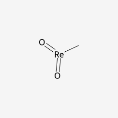 [CH3][Re](=[O])=[O]